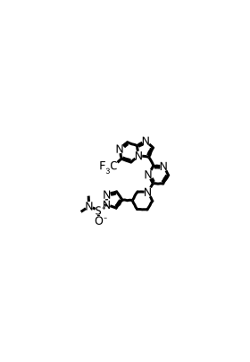 CN(C)[S+]([O-])n1cc(C2CCCN(c3ccnc(-c4cnc5cnc(C(F)(F)F)cn45)n3)C2)cn1